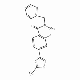 CON(Cc1ccccc1)C(=O)c1ccc(-c2noc(C(F)(F)F)n2)cc1F